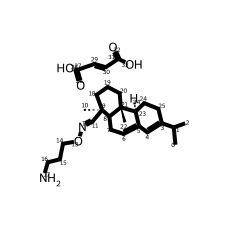 CC(C)C1=CC2=CCC3[C@@](C)(/C=N/OCCCN)CCC[C@]3(C)[C@H]2CC1.O=C(O)/C=C/C(=O)O